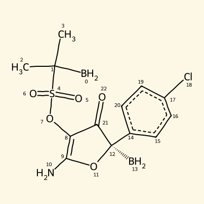 BC(C)(C)S(=O)(=O)OC1=C(N)O[C@](B)(c2ccc(Cl)cc2)C1=O